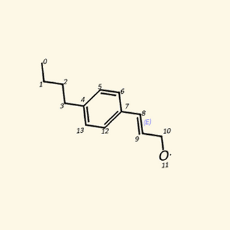 CCCCc1ccc(/C=C/C[O])cc1